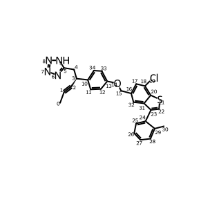 CC#C[C@@H](Cc1nnn[nH]1)c1ccc(OCc2cc(Cl)c3scc(-c4ccccc4C)c3c2)cc1